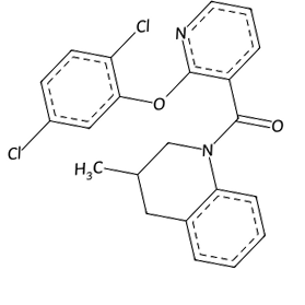 CC1Cc2ccccc2N(C(=O)c2cccnc2Oc2cc(Cl)ccc2Cl)C1